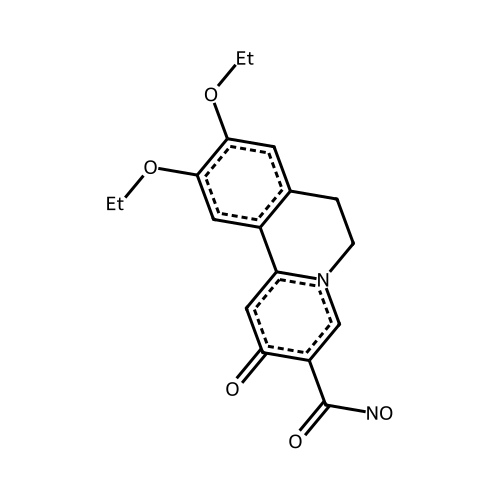 CCOc1cc2c(cc1OCC)-c1cc(=O)c(C(=O)N=O)cn1CC2